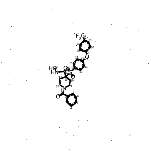 O=C(c1ccccc1)N1CCC(C(=O)NO)(S(=O)(=O)c2ccc(Oc3ccc(C(F)(F)F)cc3)cc2)CC1